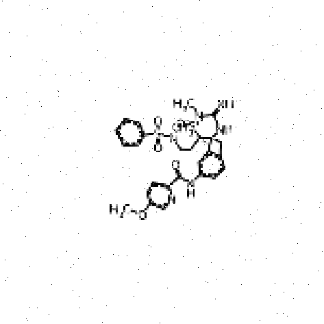 COc1ccc(C(=O)Nc2ccc3c(c2)[C@@]2(C3)NC(=N)N(C)[S+]([O-])C2CCN(C)S(=O)(=O)c2ccccc2)nc1